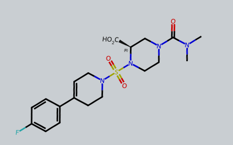 CN(C)C(=O)N1CCN(S(=O)(=O)N2CC=C(c3ccc(F)cc3)CC2)[C@@H](C(=O)O)C1